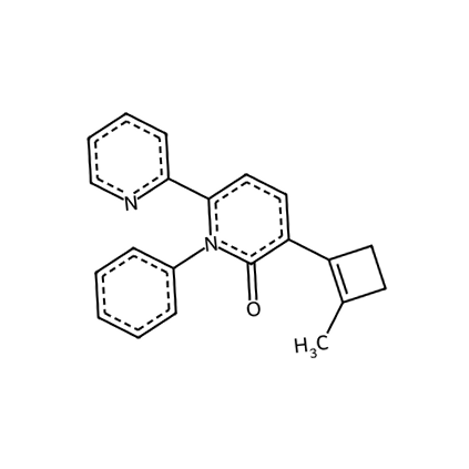 CC1=C(c2ccc(-c3ccccn3)n(-c3ccccc3)c2=O)CC1